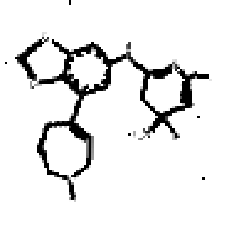 CC1=CC(C)(N)CC(Nc2cc3c(c(C4=CCN(C)CCC4)c2)OCO3)=N1